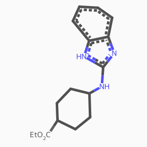 CCOC(=O)C1CCC(Nc2nc3ccccc3[nH]2)CC1